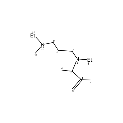 C=C(C)C(C)N(CC)CCCN(C)CC